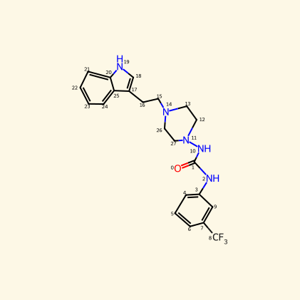 O=C(Nc1cccc(C(F)(F)F)c1)NN1CCN(CCc2c[nH]c3ccccc23)CC1